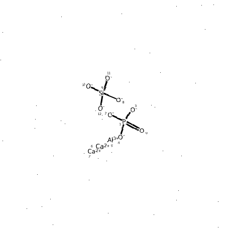 O=P([O-])([O-])[O-].[Al+3].[Ca+2].[Ca+2].[O-][Si]([O-])([O-])[O-]